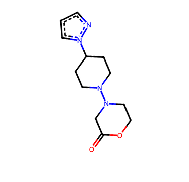 O=C1CN(N2CCC(n3cccn3)CC2)CCO1